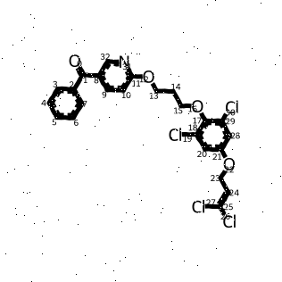 O=C(c1ccccc1)c1ccc(OCCCOc2c(Cl)cc(OCC=C(Cl)Cl)cc2Cl)nc1